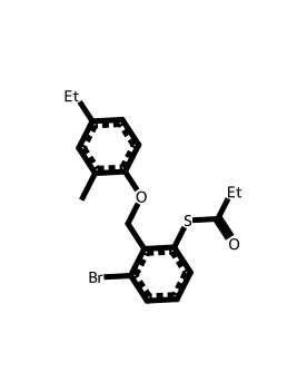 CCC(=O)Sc1cccc(Br)c1COc1ccc(CC)cc1C